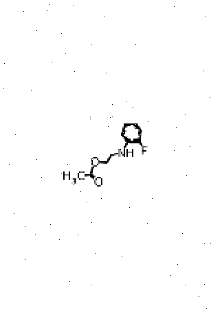 CC(=O)OCCNc1ccccc1F